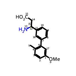 COc1ccc(C)c(-c2cccc([C@@H](N)CC(=O)O)c2)c1